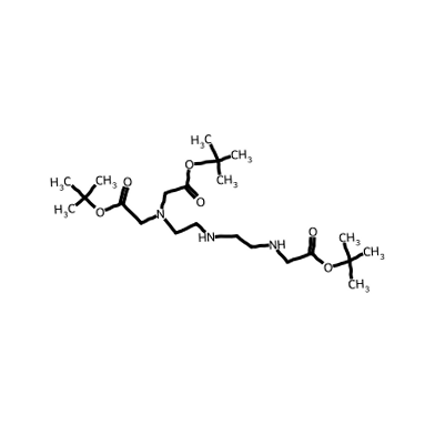 CC(C)(C)OC(=O)CNCCNCCN(CC(=O)OC(C)(C)C)CC(=O)OC(C)(C)C